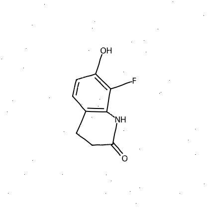 O=C1CCc2ccc(O)c(F)c2N1